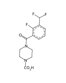 O=C(O)N1CCN(C(=O)c2cccc(C(F)F)c2F)CC1